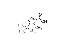 Cn1c(C(=O)O)ccc1C(C)(C)C